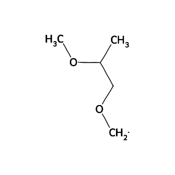 [CH2]OCC(C)OC